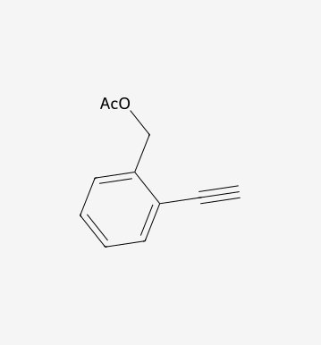 C#Cc1ccccc1COC(C)=O